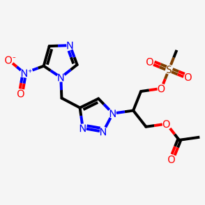 CC(=O)OCC(COS(C)(=O)=O)n1cc(Cn2cncc2[N+](=O)[O-])nn1